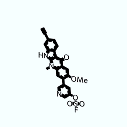 C#Cc1ccc2c(c1)[nH]c1c2c(=O)c2cc(OC)c(-c3cncc(OS(=O)(=O)F)c3)cc2n1C